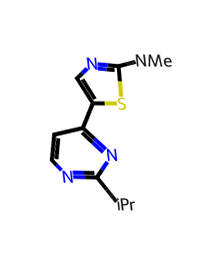 CNc1ncc(-c2ccnc(C(C)C)n2)s1